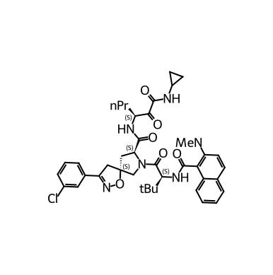 CCC[C@H](NC(=O)[C@@H]1C[C@]2(CC(c3cccc(Cl)c3)=NO2)CN1C(=O)[C@@H](NC(=O)c1c(NC)ccc2ccccc12)C(C)(C)C)C(=O)C(=O)NC1CC1